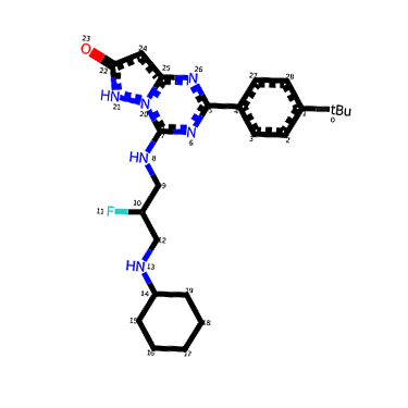 CC(C)(C)c1ccc(-c2nc(NCC(F)CNC3CCCCC3)n3[nH]c(=O)cc3n2)cc1